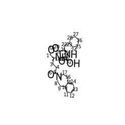 O=CC(CCC(=O)N1CCc2ccccc2CC1)NC(=O)C(CC1CCCCC1)NC(=O)O